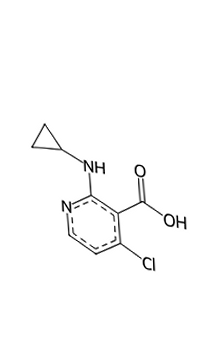 O=C(O)c1c(Cl)ccnc1NC1CC1